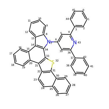 c1ccc(-c2cc(-n3c4ccccc4c4c5ccccc5c5c6ccc7ccccc7c6sc5c43)cc(-c3ccccc3)n2)cc1